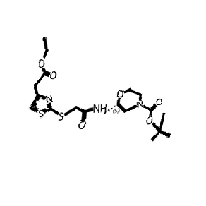 CCOC(=O)Cc1csc(SCC(=O)NC[C@H]2CN(C(=O)OC(C)(C)C)CCO2)n1